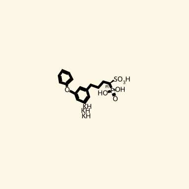 O=P(O)(O)[C@@H](CCCc1cccc(Oc2ccccc2)c1)S(=O)(=O)O.[KH].[KH].[KH]